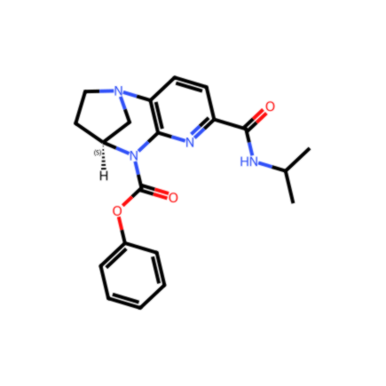 CC(C)NC(=O)c1ccc2c(n1)N(C(=O)Oc1ccccc1)[C@H]1CCN2C1